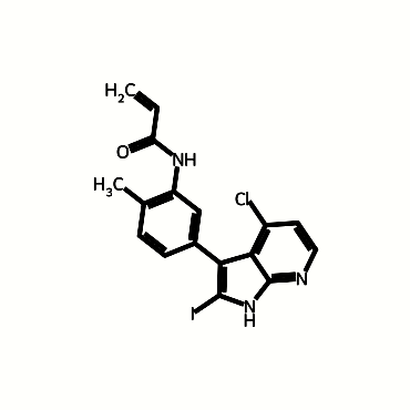 C=CC(=O)Nc1cc(-c2c(I)[nH]c3nccc(Cl)c23)ccc1C